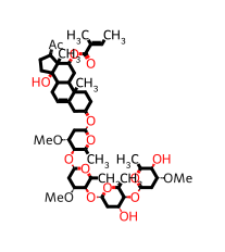 C/C=C(\C)C(=O)OC1CC2C(CC=C3CC(O[C@H]4C[C@@H](OC)[C@H](O[C@H]5C[C@@H](OC)[C@H](O[C@H]6C[C@@H](O)[C@H](O[C@H]7C[C@@H](OC)[C@H](O)C(C)O7)C(C)O6)C(C)O5)C(C)O4)CCC32C)C2(O)CCC(C(C)=O)C12C